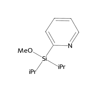 CO[Si](c1ccccn1)(C(C)C)C(C)C